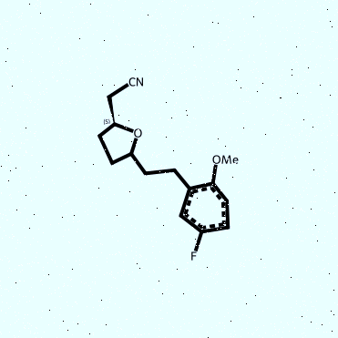 COc1ccc(F)cc1CCC1CC[C@@H](CC#N)O1